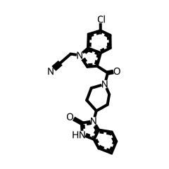 N#CCn1cc(C(=O)N2CCC(n3c(=O)[nH]c4ccccc43)CC2)c2ccc(Cl)cc21